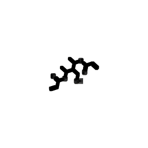 C=CC(=O)OC(C)[C](CO)C(C)OC(=O)C=C